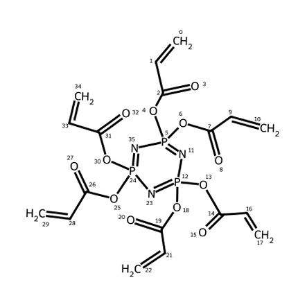 C=CC(=O)OP1(OC(=O)C=C)=NP(OC(=O)C=C)(OC(=O)C=C)=NP(OC(=O)C=C)(OC(=O)C=C)=N1